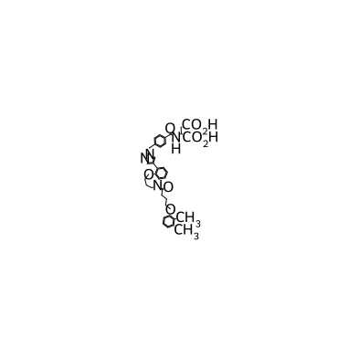 Cc1cccc(OCCCC(=O)N2CCCOc3c(-c4cnn(Cc5ccc(C(=O)NC(CC(=O)O)C(=O)O)cc5)c4)cccc32)c1C